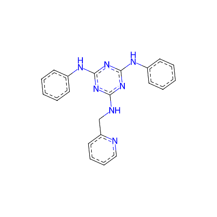 c1ccc(Nc2nc(NCc3ccccn3)nc(Nc3ccccc3)n2)cc1